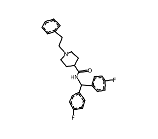 O=C(NC(c1ccc(F)cc1)c1ccc(F)cc1)C1CCN(CCc2ccccc2)CC1